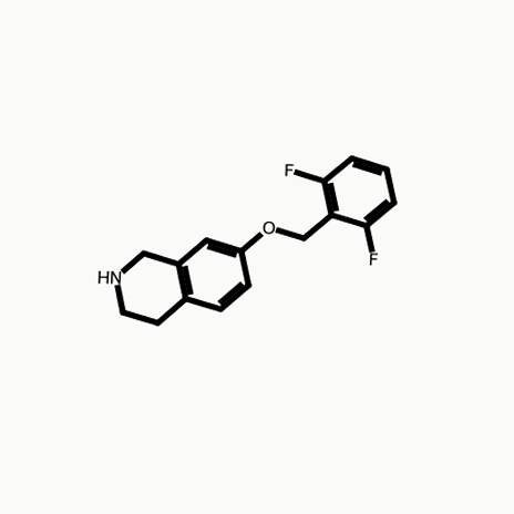 Fc1cccc(F)c1COc1ccc2c(c1)CNCC2